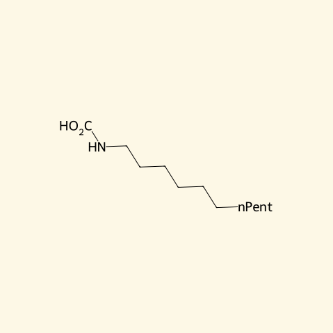 [CH2]CCCCCCCCCCNC(=O)O